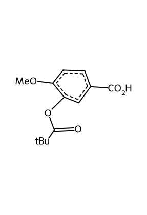 COc1ccc(C(=O)O)cc1OC(=O)C(C)(C)C